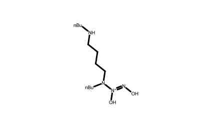 CCCCNCCCCN(CCCC)/[N+](O)=N/O